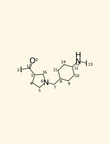 O=C(I)C1CCN(CC2CCC(NI)CC2)C1